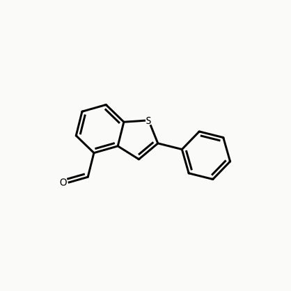 O=Cc1cccc2sc(-c3ccccc3)cc12